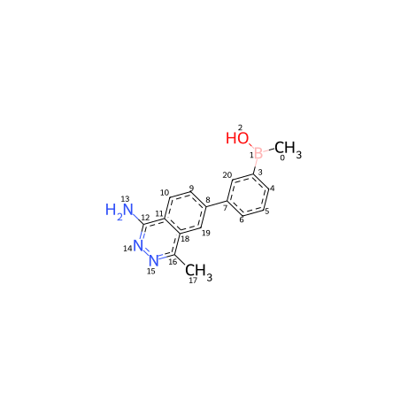 CB(O)c1cccc(-c2ccc3c(N)nnc(C)c3c2)c1